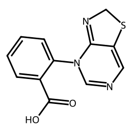 O=C(O)c1ccccc1N1C=NC=C2SCN=C21